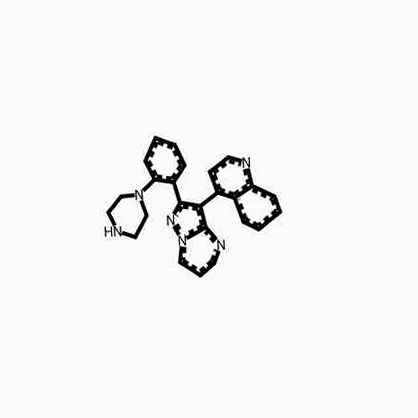 c1ccc(N2CCNCC2)c(-c2nn3cccnc3c2-c2ccnc3ccccc23)c1